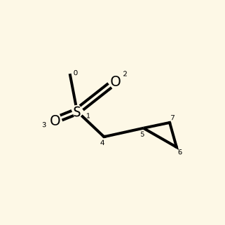 CS(=O)(=O)CC1CC1